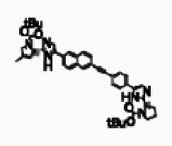 CC1=C[C@@H](c2ncc(-c3ccc4cc(C#Cc5ccc(-c6cnc([C@H]7CCCN7C(=O)OC(C)(C)C)[nH]6)cc5)ccc4c3)[nH]2)N(C(=O)OC(C)(C)C)C1